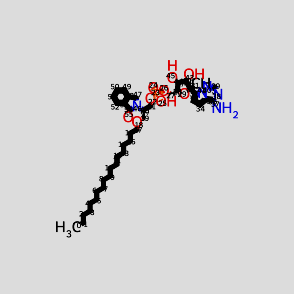 CCCCCCCCCCCCCCCCCCOC[C@H](COP(=O)(O)OC[C@H]1O[C@@](C)(c2ccc3c(N)ncnn23)[C@H](O)[C@@H]1O)N1Cc2ccccc2C1=O